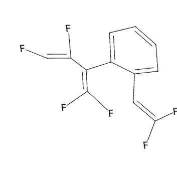 FC=C(F)C(=C(F)F)c1ccccc1C=C(F)F